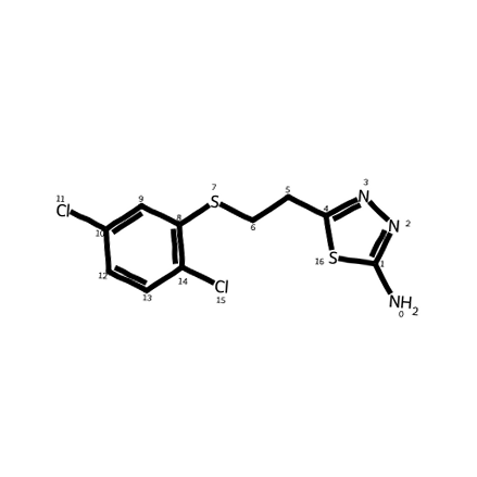 Nc1nnc(CCSc2cc(Cl)ccc2Cl)s1